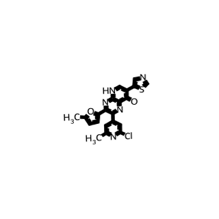 Cc1cc(-c2nc3c(=O)c(-c4cncs4)c[nH]c3nc2-c2ccc(C)o2)cc(Cl)n1